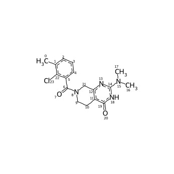 Cc1cccc(C(=O)N2CCc3c(nc(N(C)C)[nH]c3=O)C2)c1Cl